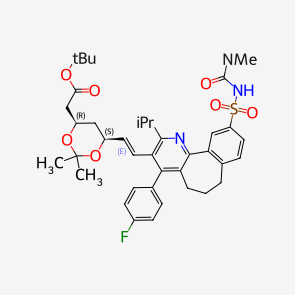 CNC(=O)NS(=O)(=O)c1ccc2c(c1)-c1nc(C(C)C)c(/C=C/[C@@H]3C[C@H](CC(=O)OC(C)(C)C)OC(C)(C)O3)c(-c3ccc(F)cc3)c1CCC2